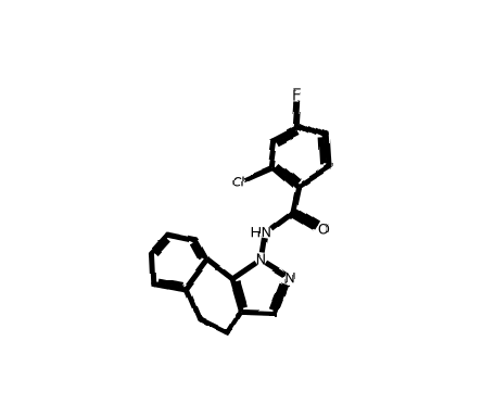 O=C(Nn1ncc2c1-c1ccccc1CC2)c1ccc(F)cc1Cl